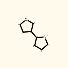 C1CSC(C2CCOC2)C1